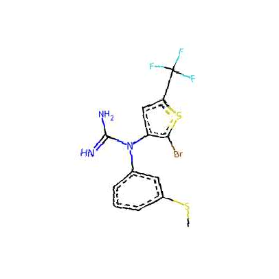 CSc1cccc(N(C(=N)N)c2cc(C(F)(F)F)sc2Br)c1